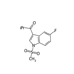 CC(C)C(=O)c1cn(S(C)(=O)=O)c2ccc(F)cc12